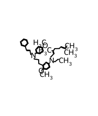 CCCN(C/C=C(\C)CCC=C(C)C)c1ccc(OC)c(CCCN(C/C=C/c2ccccc2)c2ccc(OC)cc2)c1